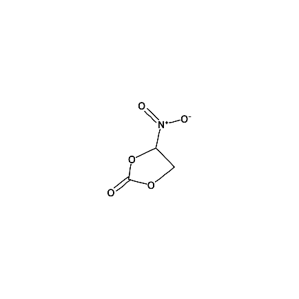 O=C1OCC([N+](=O)[O-])O1